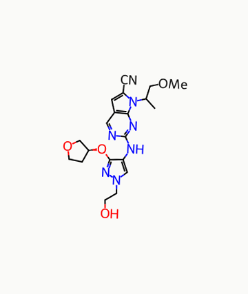 COCC(C)n1c(C#N)cc2cnc(Nc3cn(CCO)nc3O[C@H]3CCOC3)nc21